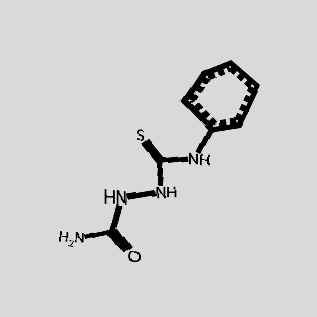 NC(=O)NNC(=S)Nc1ccccc1